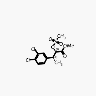 COC(=O)[C@H](OS(C)(=O)=O)[C@H](C)c1ccc(Cl)c(Cl)c1